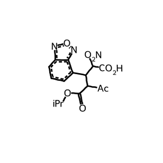 CC(=O)C(C(=O)OC(C)C)C(c1cccc2nonc12)C(C(=O)O)[N+](=O)[O-]